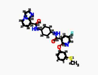 CSc1cccc(Oc2ncc(F)cc2C(=O)NC2CCC(NC(=O)c3cccn4ccnc34)CC2)c1